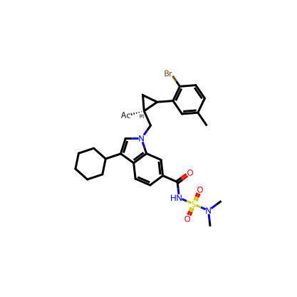 CC(=O)[C@]1(Cn2cc(C3CCCCC3)c3ccc(C(=O)NS(=O)(=O)N(C)C)cc32)CC1c1cc(C)ccc1Br